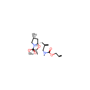 C=CCOC(=O)N(C)CC(=C)C[C@@]1(O[SiH](C)C)C[C@H](C(C)(C)C)CN1C(=O)OC(C)(C)C